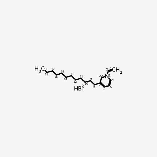 Br.C=CN1C=CC=C(CCCCCCCCCCCC)C1